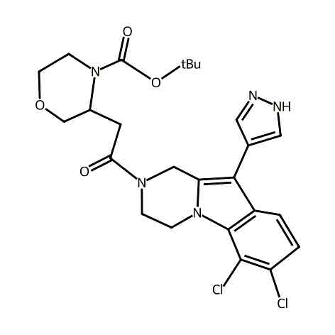 CC(C)(C)OC(=O)N1CCOCC1CC(=O)N1CCn2c(c(-c3cn[nH]c3)c3ccc(Cl)c(Cl)c32)C1